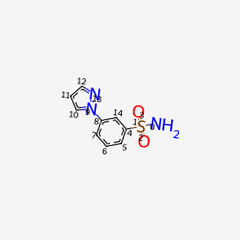 NS(=O)(=O)c1cccc(-n2cccn2)c1